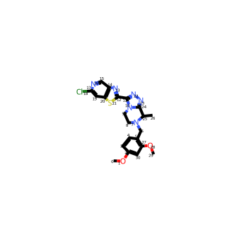 COc1ccc(CN2CCn3c(-c4nc5cnc(Cl)cc5s4)nnc3C2C)c(OC)c1